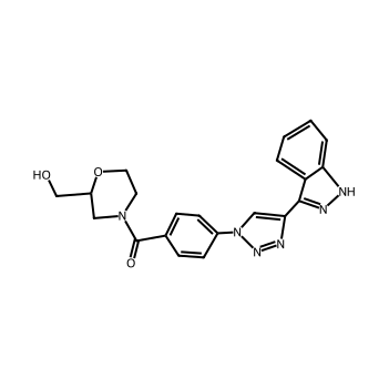 O=C(c1ccc(-n2cc(-c3n[nH]c4ccccc34)nn2)cc1)N1CCOC(CO)C1